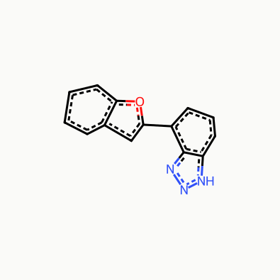 c1ccc2oc(-c3cccc4[nH]nnc34)cc2c1